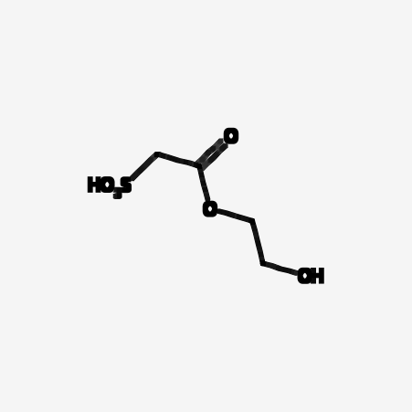 O=C(CS(=O)(=O)O)OCCO